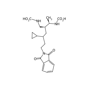 C[C@@H](NC(=O)O)[C@H](CNC(=O)O)CC(CCN1C(=O)c2ccccc2C1=O)C1CC1